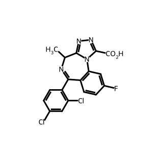 CC1N=C(c2ccc(Cl)cc2Cl)c2ccc(F)cc2-n2c(C(=O)O)nnc21